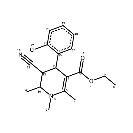 CCOC(=O)C1=C(C)N(C)C(C)C(C#N)C1c1ccccc1Cl